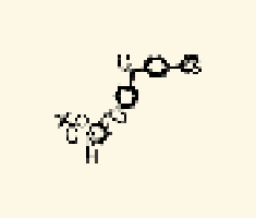 CC(C)(C)C(=O)OC1NCC[C@@H]1COc1ccc(C(=O)c2ccc(-c3ccsc3)cc2)cc1